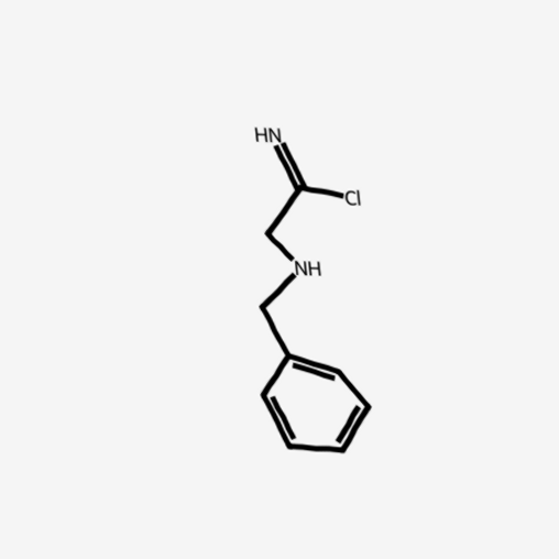 N=C(Cl)CNCc1ccccc1